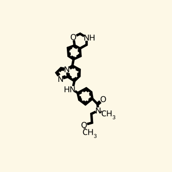 COCCN(C)C(=O)c1ccc(Nc2ccc(-c3ccc4c(c3)CNCO4)n3ccnc23)cc1